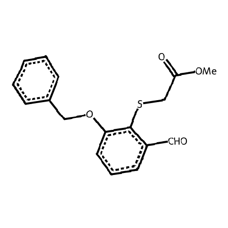 COC(=O)CSc1c(C=O)cccc1OCc1ccccc1